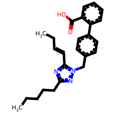 CC/C=C/c1nc(CCCCC)nn1Cc1ccc(-c2ccccc2C(=O)O)cc1